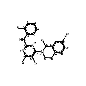 Cc1ccccc1Nc1nc(C)c(C)c(N2CCc3ccc(F)cc3C2C)n1